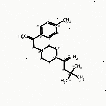 C=C(CN1CCN(C(=C)CC(C)(C)C)CC1)c1ccc(C)cc1